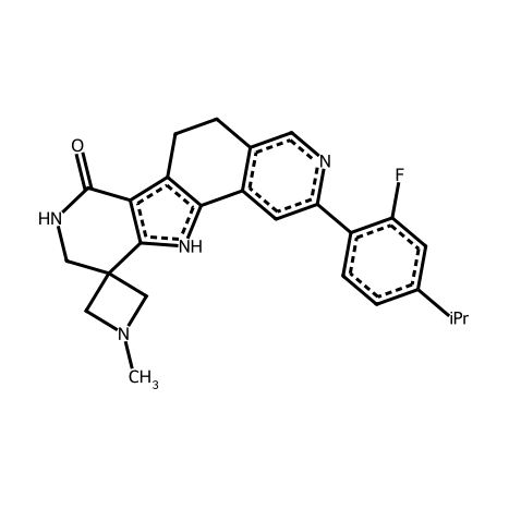 CC(C)c1ccc(-c2cc3c(cn2)CCc2c-3[nH]c3c2C(=O)NCC32CN(C)C2)c(F)c1